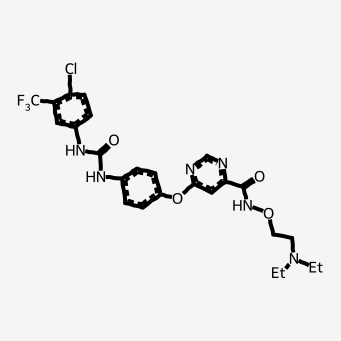 CCN(CC)CCONC(=O)c1cc(Oc2ccc(NC(=O)Nc3ccc(Cl)c(C(F)(F)F)c3)cc2)ncn1